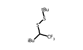 CCC(C)C(SSC(C)(C)C)C(F)(F)F